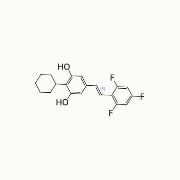 Oc1cc(/C=C/c2c(F)cc(F)cc2F)cc(O)c1C1CCCCC1